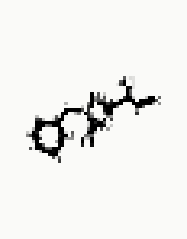 C=CC(Cl)c1nn(Cc2ccccc2)c(=O)o1